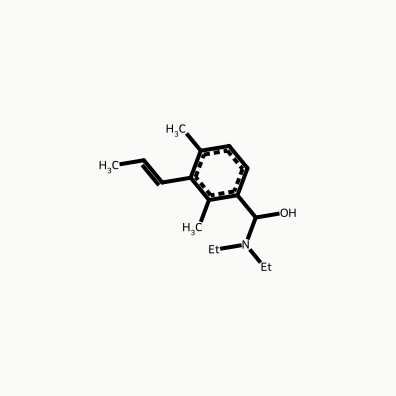 C/C=C/c1c(C)ccc(C(O)N(CC)CC)c1C